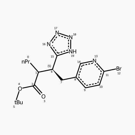 CCCC(C(=O)OC(C)(C)C)[C@H](Cc1ccc(Br)nc1)c1nnn[nH]1